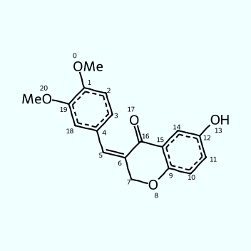 COc1ccc(C=C2COc3ccc(O)cc3C2=O)cc1OC